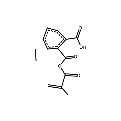 C=C(C)C(=O)OC(=O)c1ccccc1C(=O)O.CC